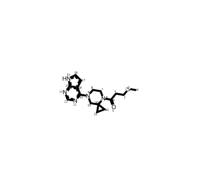 CSCCC(=O)N1CCN(c2ncnc3[nH]ccc23)CC12CC2